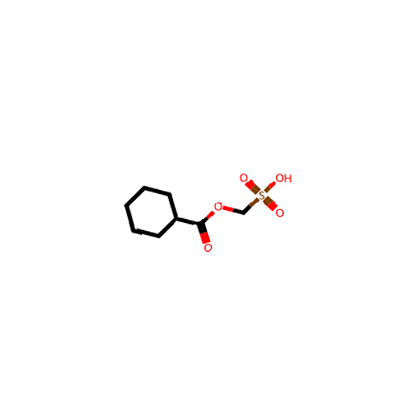 O=C(OCS(=O)(=O)O)C1CCCCC1